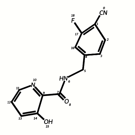 N#Cc1ccc(CNC(=O)c2ncccc2O)cc1F